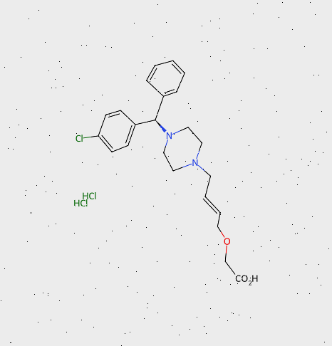 Cl.Cl.O=C(O)COC/C=C/CN1CCN([C@H](c2ccccc2)c2ccc(Cl)cc2)CC1